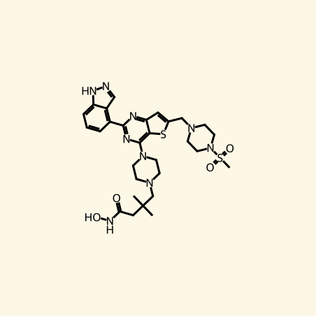 CC(C)(CC(=O)NO)CN1CCN(c2nc(-c3cccc4[nH]ncc34)nc3cc(CN4CCN(S(C)(=O)=O)CC4)sc23)CC1